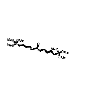 CO[Si](CCCCNC(=O)NCCCC[Si](OC)(OC)OC)(OC)OC